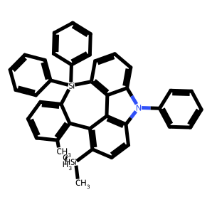 Cc1cccc2c1-c1c([SiH](C)C)ccc3c1c1c(cccc1n3-c1ccccc1)[Si]2(c1ccccc1)c1ccccc1